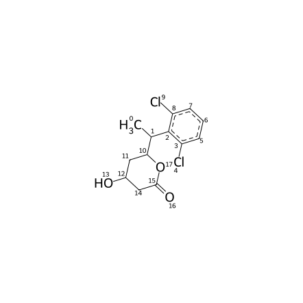 CC(c1c(Cl)cccc1Cl)C1CC(O)CC(=O)O1